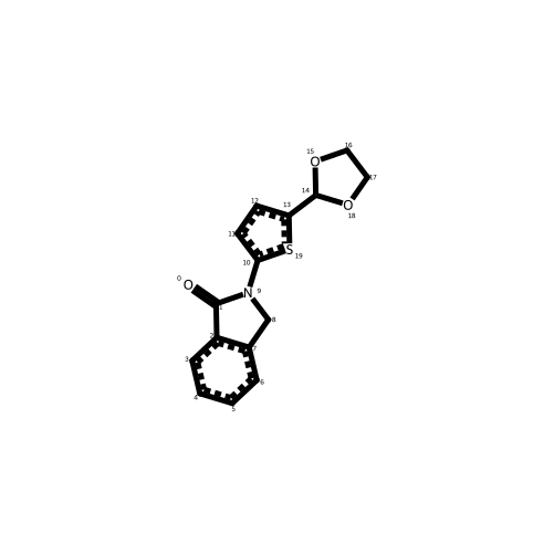 O=C1c2ccccc2CN1c1ccc(C2OCCO2)s1